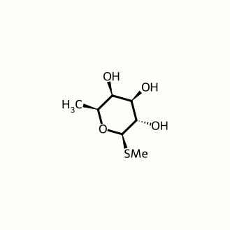 CS[C@H]1O[C@@H](C)[C@@H](O)[C@@H](O)[C@@H]1O